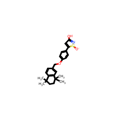 CC1(C)CCC(C)(C)c2cc(COc3ccc(-c4cc(O)n[s+]4[O-])cc3)ccc21